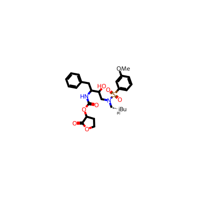 CC[C@@H](C)CN(CC(O)C(Cc1ccccc1)NC(=O)OC1CCOC1=O)S(=O)(=O)c1cccc(OC)c1